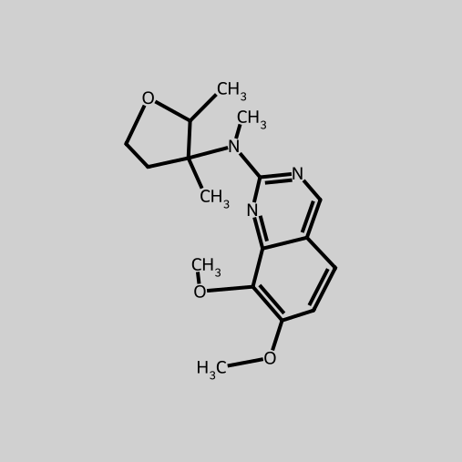 COc1ccc2cnc(N(C)C3(C)CCOC3C)nc2c1OC